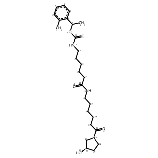 Cc1ccccc1C(C)OC(=O)NCCCCCC(=O)NCCCCCC(=O)N1CC[C@@H](O)C1